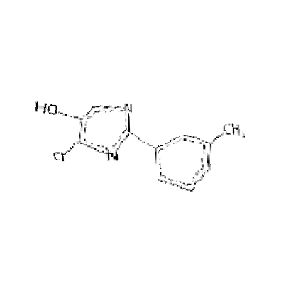 Cc1cccc(-c2ncc(O)c(Cl)n2)c1